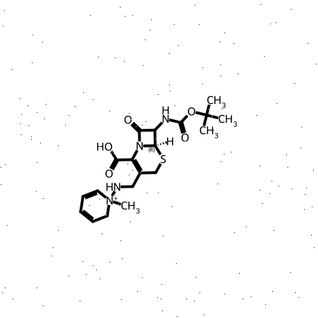 CC(C)(C)OC(=O)NC1C(=O)N2C(C(=O)O)=C(CN[N+]3(C)C=CC=CC3)CS[C@H]12